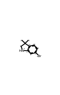 CC1(C)CNc2cc(Br)ccc21